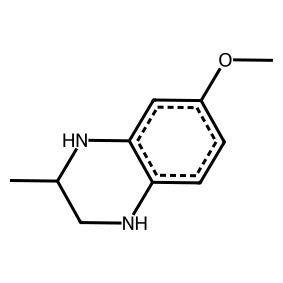 COc1ccc2c(c1)NC(C)CN2